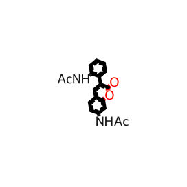 CC(=O)Nc1ccc2cc(-c3ccccc3NC(C)=O)c(=O)oc2c1